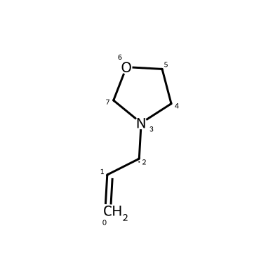 C=C[CH]N1CCOC1